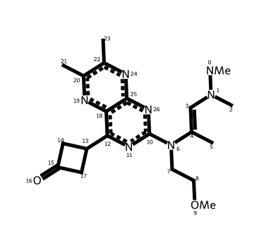 CNN(C)C=C(C)N(CCOC)c1nc(C2CC(=O)C2)c2nc(C)c(C)nc2n1